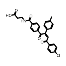 Cc1ccc(/C(=C/C(=O)c2ccc(Cl)cc2)C(=O)c2ccc(C(=O)NCCC(=O)O)cc2)cc1